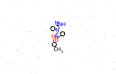 Cc1ccc(CS(=O)(=O)N(CCN(Cc2cnc[nH]2)c2ccccc2)Cc2ccccc2)cc1